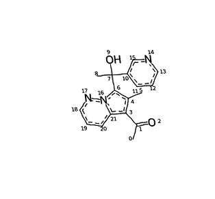 CC(=O)c1c(C)c(C(C)(O)c2cccnc2)n2ncccc12